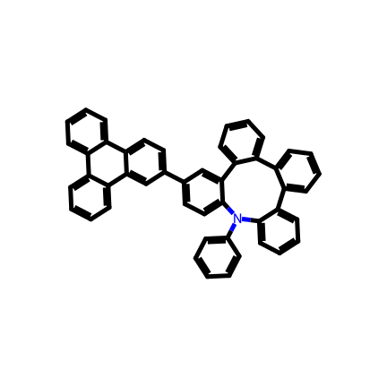 c1ccc(-n2c3ccccc3c3ccccc3c3ccccc3c3cc(-c4ccc5c6ccccc6c6ccccc6c5c4)ccc32)cc1